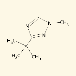 Cn1[c]nc(C(C)(C)C)n1